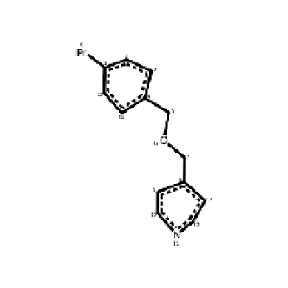 CC(C)c1ccc(COCc2ccncc2)cc1